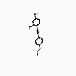 CCCc1ccc(C#Cc2ccc(Br)cc2F)cc1